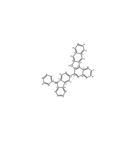 c1ccc(-n2c3ccccc3c3cc(-c4cc5ccccc5c5c4oc4cc6ccccc6cc45)ccc32)cc1